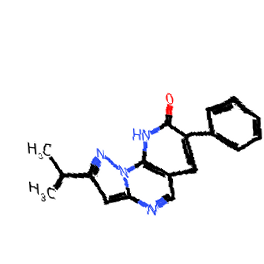 CC(C)c1cc2ncc3cc(-c4ccccc4)c(=O)[nH]c3n2n1